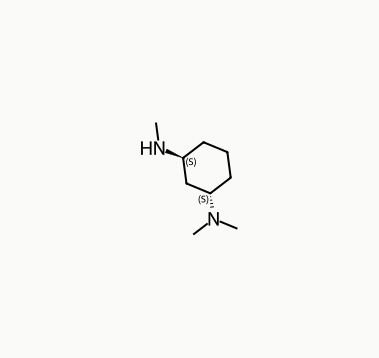 CN[C@H]1CCC[C@H](N(C)C)C1